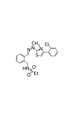 CCS(=O)(=O)NCc1ccccc1/C=N/N(C)c1nc(-c2ccccc2Cl)cs1